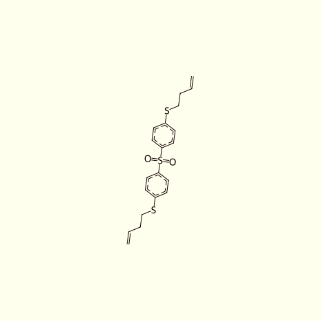 C=CCCSc1ccc(S(=O)(=O)c2ccc(SCCC=C)cc2)cc1